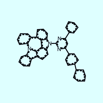 c1ccc(-c2ccc(-c3cc(-c4ccccc4)nc(-n4c5cccc6c7ccccc7n7c8ccccc8c8ccc4c(c65)c87)n3)cc2)cc1